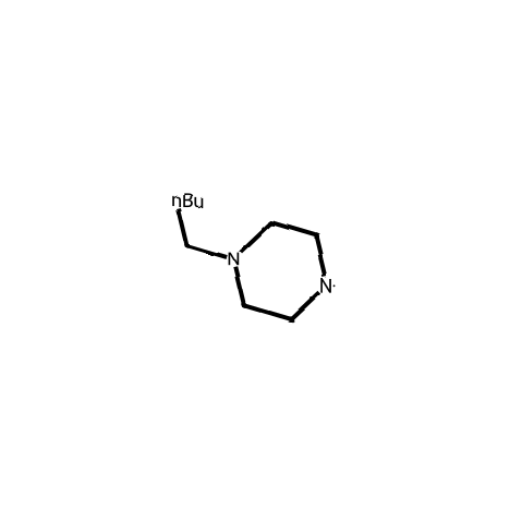 CCCCCN1CC[N]CC1